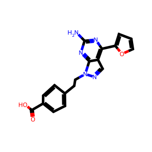 Nc1nc(-c2ccco2)c2cnn(CCc3ccc(C(=O)O)cc3)c2n1